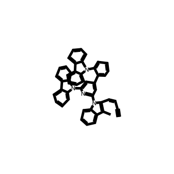 C#C/C=C\c1c(C)c2ccccc2n1-c1cc(-c2ccccc2-n2c3ccccc3c3ccccc32)cc(-n2c3ccccc3c3ccccc32)n1